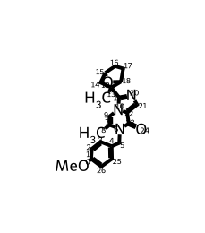 COc1ccc(Cn2c(C)cn3c(C4(C)CC5CCC4O5)ncc3c2=O)cc1